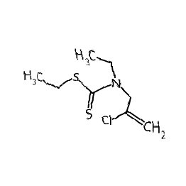 C=C(Cl)CN(CC)C(=S)SCC